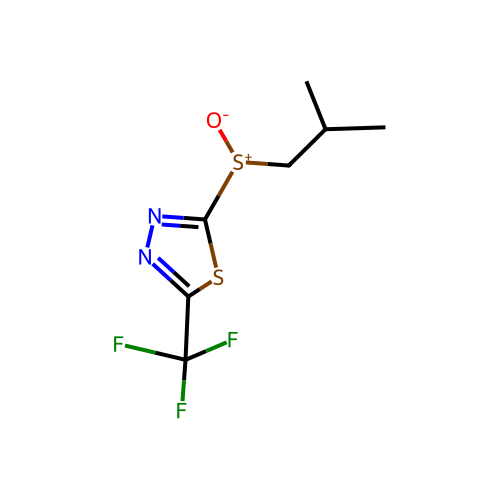 CC(C)C[S+]([O-])c1nnc(C(F)(F)F)s1